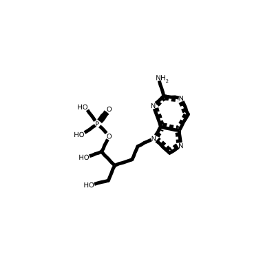 Nc1ncc2ncn(CCC(CO)C(O)OP(=O)(O)O)c2n1